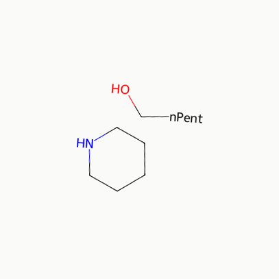 C1CCNCC1.CCCCCCO